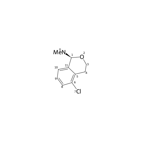 CN[C@H]1OCCc2c(Cl)cccc21